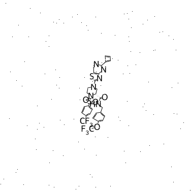 O=C(NCc1ccc(OC(F)(F)F)cc1)[C@H]1CN(c2nc3nc(C4=CC=C4)ncc3s2)CCN1S(=O)(=O)c1ccc(C(F)(F)F)cc1